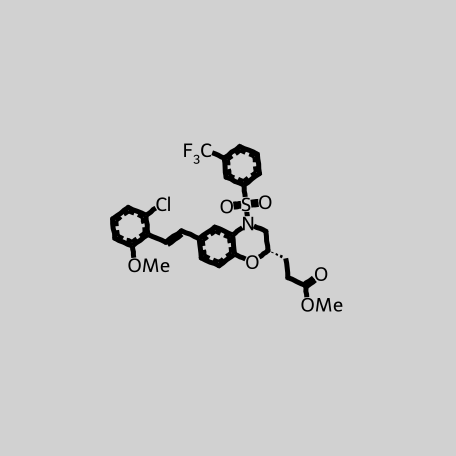 COC(=O)CC[C@H]1CN(S(=O)(=O)c2cccc(C(F)(F)F)c2)c2cc(/C=C/c3c(Cl)cccc3OC)ccc2O1